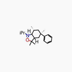 CC(C)N1OC(C)(C)[C@H]2C[C@](C)(c3ccccc3)C[C@@H](C)[C@@H]21